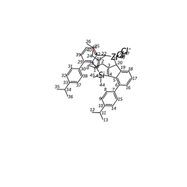 CCCC1=C2c3c(-c4ccc(C(C)C)cc4)cccc3[CH]1[Zr+2][CH]1C(CCC)=C(c3c(-c4ccc(C(C)C)cc4)cccc31)[Si]2(C)C.[Cl-].[Cl-]